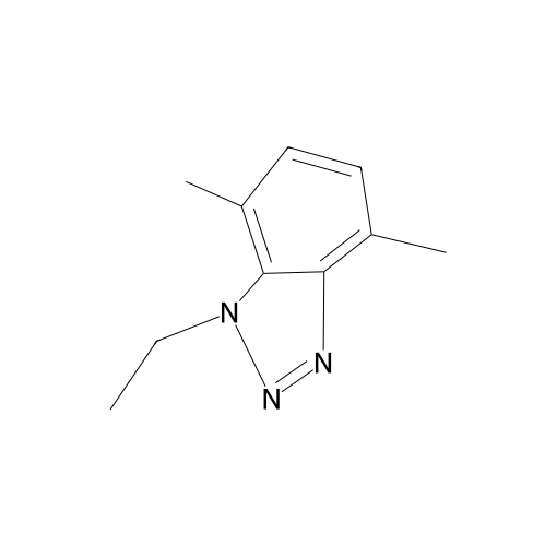 CCn1nnc2c(C)ccc(C)c21